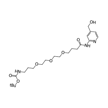 CC(C)(C)OC(=O)NCCCOCCOCCOCCCC(=O)Nc1cc(CO)ccn1